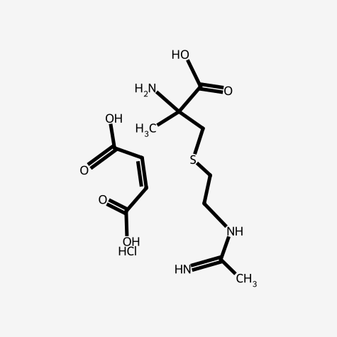 CC(=N)NCCSCC(C)(N)C(=O)O.Cl.O=C(O)/C=C\C(=O)O